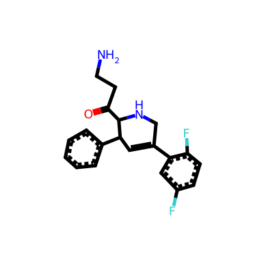 NCCC(=O)C1NCC(c2cc(F)ccc2F)=CC1c1ccccc1